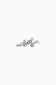 O=C(N[C@H]1CC[C@H](O)C[C@H]1F)c1cn2cc(Cl)cc(-c3ccccc3OCC(F)(F)F)c2n1